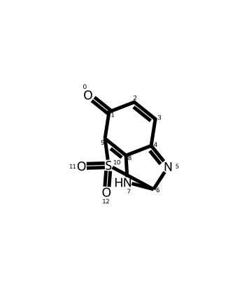 O=C1C=CC2=NC3NC2=C1S3(=O)=O